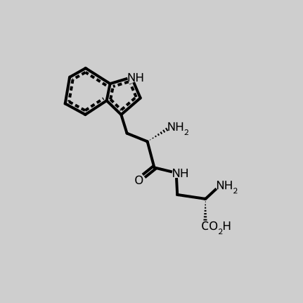 N[C@@H](CNC(=O)[C@@H](N)Cc1c[nH]c2ccccc12)C(=O)O